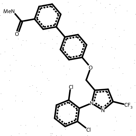 CNC(=O)c1cccc(-c2ccc(OCc3cc(C(F)(F)F)nn3-c3c(Cl)cccc3Cl)cc2)c1